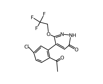 CC(=O)c1ccc(Cl)cc1-c1cc(=O)[nH]nc1OCC(F)(F)F